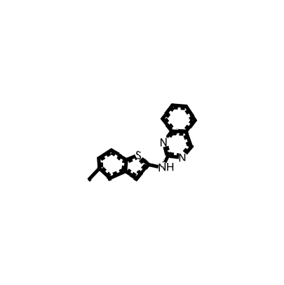 Cc1ccc2sc(Nc3ncc4ccccc4n3)cc2c1